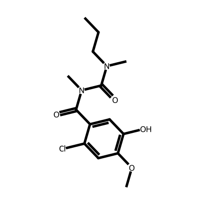 CCCN(C)C(=O)N(C)C(=O)c1cc(O)c(OC)cc1Cl